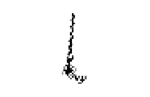 CCCCCCCCCCCCCOCCOP(=O)([O-])OCC[N+](C)(C)C